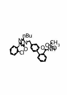 CCCCc1nn(-c2ccccc2Cl)c(=O)n1Cc1ccc(-c2ccccc2C(=O)NS(C)(=O)=O)cc1